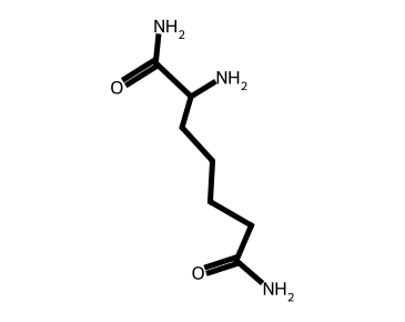 NC(=O)CCCCC(N)C(N)=O